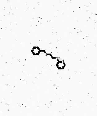 c1ccc(CSCCNc2ccccn2)cc1